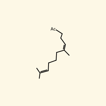 CC(=O)CC/C=C(/C)CCCC=C(C)C